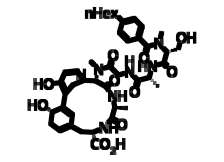 CCCCCCc1ccc(C(=O)N(C)[C@H](CO)C(=O)N[C@H](C)C(=O)NCC(=O)N(C)[C@@H]2C(=O)N[C@@H](C)C(=O)N[C@H](C(=O)O)CC3=CC[C@H](O)C(=C3)C3=C(O)C=C[C@H]2C3)cc1